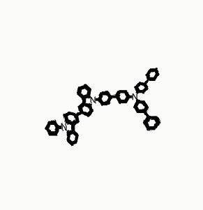 c1ccc(-c2ccc(N(c3ccc(-c4ccccc4)cc3)c3ccc(-c4ccc(-n5c6ccccc6c6cc(-c7ccc8c(c7)c7ccccc7n8-c7ccccc7)ccc65)cc4)cc3)cc2)cc1